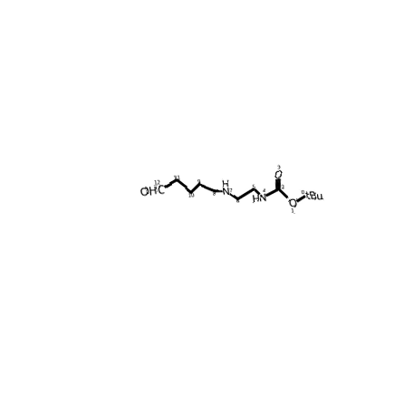 CC(C)(C)OC(=O)NCCNCCCCC=O